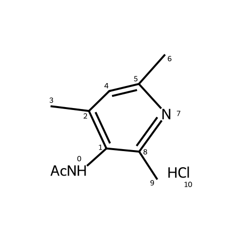 CC(=O)Nc1c(C)cc(C)nc1C.Cl